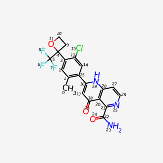 Cc1cc(C2(C(F)(F)F)CCO2)c(Cl)cc1-c1cc(=O)c2c(C(N)=O)nccc2[nH]1